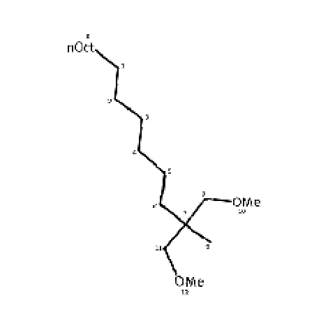 CCCCCCCCCCCCCCC(C)(COC)COC